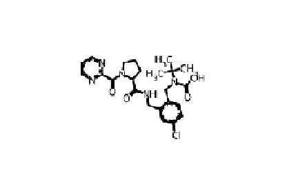 CC(C)(C)N(Cc1ccc(Cl)cc1CNC(=O)C1CCCN1C(=O)c1ncccn1)C(=O)O